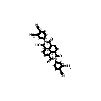 N#Cc1ccc(N2C(=O)c3ccc4c5c(ccc(c35)C2=O)C(O)N(c2ccc(C#N)c(C#N)c2)C4=O)cc1N